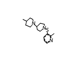 Cc1ncccc1SN1CCC(N2CCC(C)CC2)CC1